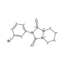 O=c1n(-c2cccc(Br)c2)c(=O)n2n1CCCC2